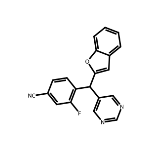 N#Cc1ccc(C(c2cncnc2)c2cc3ccccc3o2)c(F)c1